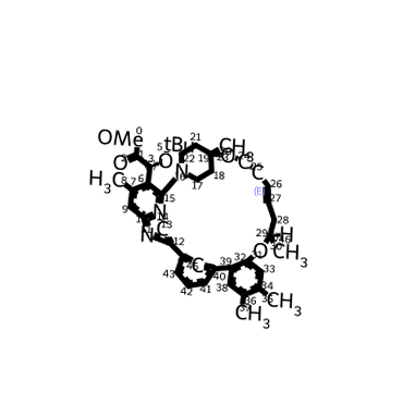 COC(=O)[C@@H](OC(C)(C)C)c1c(C)cc2nc3cn2c1N1CCC(C)(CC1)OCC/C=C/C[C@H](C)Oc1cc(C)c(C)cc1-c1cccc-3c1